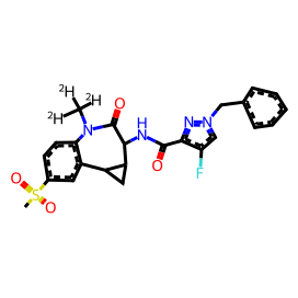 [2H]C([2H])([2H])N1C(=O)C(NC(=O)c2nn(Cc3ccccc3)cc2F)C2CC2c2cc(S(C)(=O)=O)ccc21